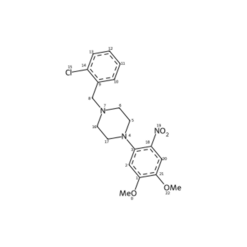 COc1cc(N2CCN(Cc3ccccc3Cl)CC2)c([N+](=O)[O-])cc1OC